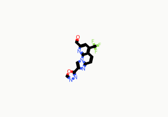 O=Cc1cc(C(F)(F)F)c2ccc3nc(-c4nnco4)cn3c2n1